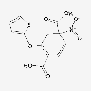 O=C(O)C1=C(Oc2cccs2)CC(C(=O)O)([N+](=O)[O-])C=C1